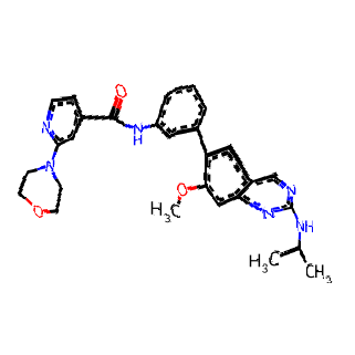 COc1cc2nc(NC(C)C)ncc2cc1-c1cccc(NC(=O)c2ccnc(N3CCOCC3)c2)c1